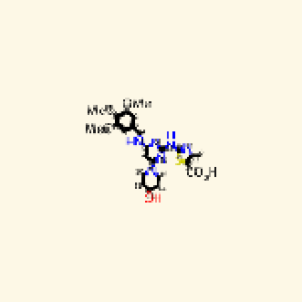 COc1cc(CNc2cc(N3CCC(O)CC3)nc(Nc3nc(C)c(C(=O)O)s3)n2)cc(OC)c1OC